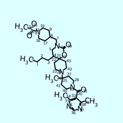 CCCCC1CN(CC2CCN(S(C)(=O)=O)CC2)C(=O)OC12CCN(C1(C)CCN(C(=O)c3c(C)ncnc3C)CC1)CC2